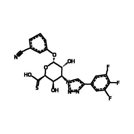 N#Cc1cccc(O[C@H]2O[C@H](C(O)=S)[C@H](O)[C@H](n3cc(-c4cc(F)c(F)c(F)c4)nn3)[C@H]2O)c1